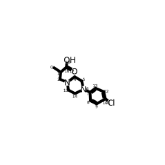 CC(CN1CCN(c2ccc(Cl)cc2)CC1)C(=O)O